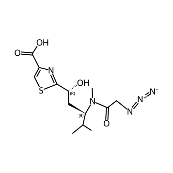 CC(C)[C@@H](C[C@@H](O)c1nc(C(=O)O)cs1)N(C)C(=O)CN=[N+]=[N-]